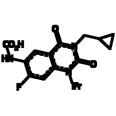 CC(C)n1c(=O)n(CC2CC2)c(=O)c2cc(NC(=O)O)c(F)cc21